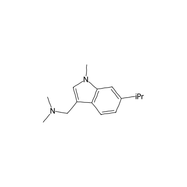 CC(C)c1ccc2c(CN(C)C)cn(C)c2c1